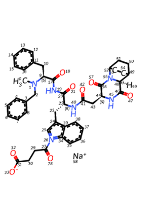 CN(Cc1ccccc1)[C@@H](Cc1ccccc1)C(=O)NC(=O)[C@@H](Cc1cn(C(=O)CCC(=O)[O-])c2ccccc12)NC(=O)C[C@@H]1NC(=O)[C@@H]2C3CCC(CC3)N2C1=O.[Na+]